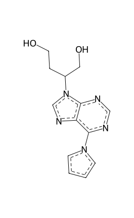 OCCC(CO)n1cnc2c(-n3cccc3)ncnc21